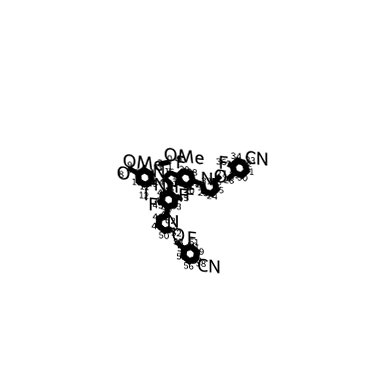 COCCN1c2cc(C(=O)OC)cc(I)c2NC1(Cc1cc(F)c(-c2cccc(OCc3ccc(C#N)cc3F)n2)cc1F)Cc1cc(F)c(-c2cccc(OCc3ccc(C#N)cc3F)n2)cc1F